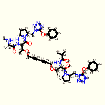 CN[C@@H](C)C(=O)N[C@H](C(=O)N1CCC[C@H]1Cn1nnnc1Oc1ccccc1)C(C)OCC#CC#CCO[C@H](C)[C@H](NC(=O)C(C)C)C(=O)N1CCCC1Cn1nnnc1Oc1ccccc1